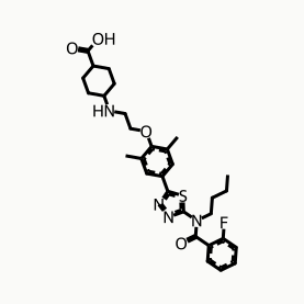 CCCCN(C(=O)c1ccccc1F)c1nnc(-c2cc(C)c(OCCNC3CCC(C(=O)O)CC3)c(C)c2)s1